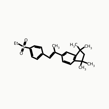 CCS(=O)(=O)c1ccc(C=C(C)c2ccc3c(c2)C(C)(C)CC3(C)C)cc1